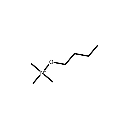 CCCCO[N+](C)(C)C